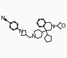 N#Cc1ccc(N2CC(CN3CCC(C4(C5CCCC5)CN(C5COC5)Cc5ccccc54)CC3)C2)cc1